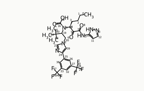 CCCC[C@@H](C(=O)C(=O)Nc1ccn[nH]1)N(C(=O)O)C(Cn1cnc(-c2cc(C(F)(F)F)cc(C(F)(F)F)c2)c1)C(C)(C)C